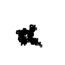 COC(=O)Nc1cccc(OC(=O)Nc2cccc(C)c2)c1.Cc1nn(-c2cc(NS(C)(=O)=O)c(Cl)cc2Cl)c(=O)n1C(F)F